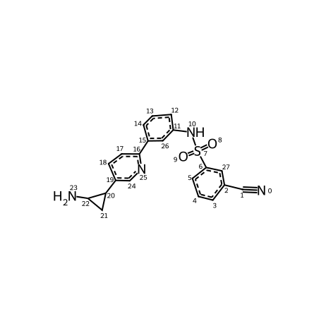 N#Cc1cccc(S(=O)(=O)Nc2cccc(-c3ccc(C4CC4N)cn3)c2)c1